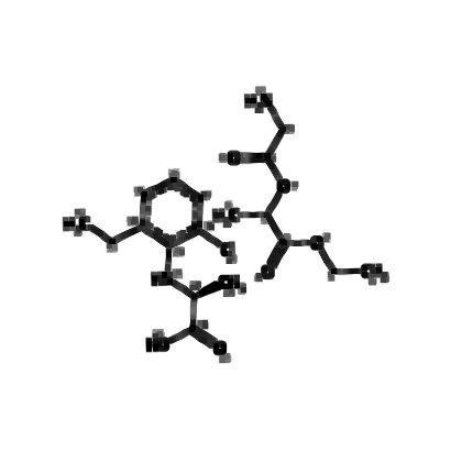 CCOC(=O)C(C)OC(=O)CN.CCc1cccc(Cl)c1N[C@@H](C)C(=O)O